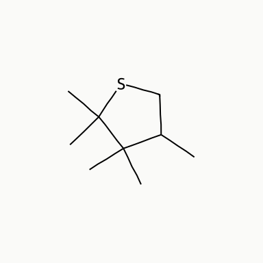 CC1CSC(C)(C)C1(C)C